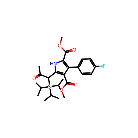 COC(=O)c1[nH]c(C(C(C)=O)[Si](C(C)C)(C(C)C)C(C)C)c(C(=O)OC)c1-c1ccc(F)cc1